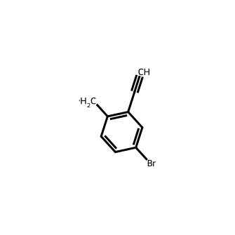 C#Cc1cc(Br)ccc1[CH2]